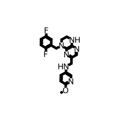 COc1ccc(NCc2cnc3c(n2)N(Cc2cc(F)ccc2F)CCN3)cn1